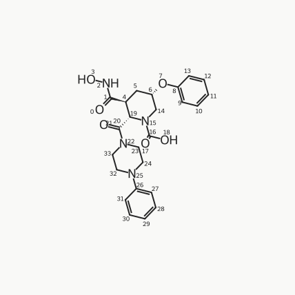 O=C(NO)[C@H]1C[C@H](Oc2ccccc2)CN(C(=O)O)[C@@H]1C(=O)N1CCN(c2ccccc2)CC1